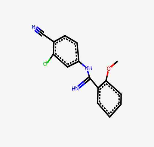 COc1ccccc1C(=N)Nc1ccc(C#N)c(Cl)c1